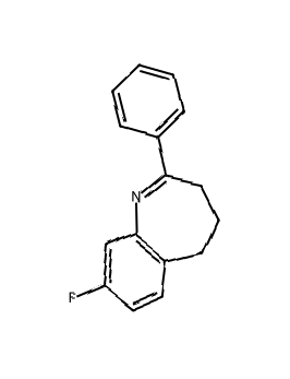 Fc1ccc2c(c1)N=C(c1ccccc1)CCC2